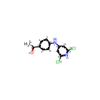 CC(=O)c1ccc(Nc2cc(Cl)nc(Cl)c2)cc1